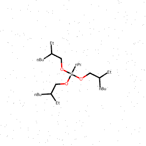 CCCCC(CC)CO[Si](CCC)(OCC(CC)CCCC)OCC(CC)CCCC